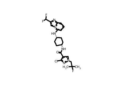 CC(C)(F)Cn1cc(C(=O)N[C@H]2CC[C@@H](Nc3cccc4nc(C(F)F)cn34)CC2)c(Cl)n1